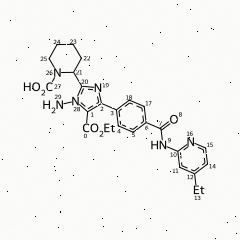 CCOC(=O)c1c(-c2ccc(C(=O)Nc3cc(CC)ccn3)cc2)nc(C2CCCCN2C(=O)O)n1N